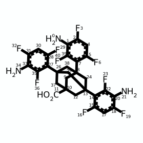 Nc1c(F)cc(F)c(C23CC4(C(=O)O)CC(c5c(F)cc(F)c(N)c5F)(C2)CC(c2c(F)cc(F)c(N)c2F)(C4)C3)c1F